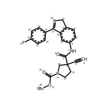 C#CC1(C(=O)Nc2ccc3c(c2)C(c2ccc(F)cc2)=NC3)CCN(C(=O)OC(C)(C)C)C1